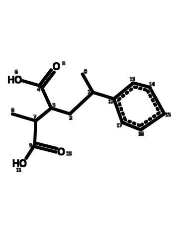 CC(CC(C(=O)O)C(C)C(=O)O)c1ccccc1